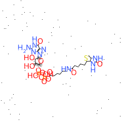 Nc1nc2c(ncn2[C@@H]2O[C@H](COP(=O)(O)OP(=O)(O)OC(=O)CCCCCNC(=O)CCCCC3SCC4NC(=O)NC43)[C@H](O)C2O)c(=O)[nH]1